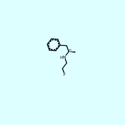 C[C@H](Cc1ccccc1)NCCF